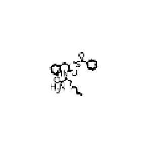 C=CCSC[C@H](NC(=O)[C@@H](CSC(=O)c1ccccc1)Cc1ccccc1)C(N)=O